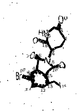 O=C1CCC(N2C(=O)c3c(Br)ccc(I)c3C2=O)C(=O)N1